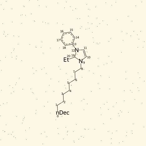 CCCCCCCCCCCCCCCCCCN1C=CN(c2ccccc2)C1CC